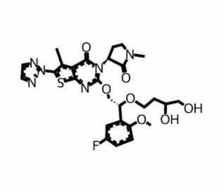 COc1ccc(F)cc1[C@H](COc1nc2sc(-n3nccn3)c(C)c2c(=O)n1[C@H]1CCN(C)C1=O)OCCC(O)CO